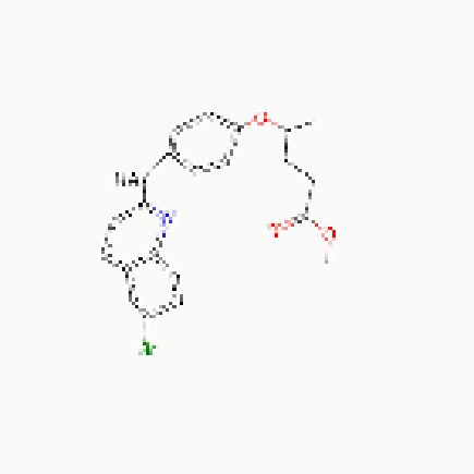 COC(=O)CCC(C)Oc1ccc([AsH]c2ccc3cc(Br)ccc3n2)cc1